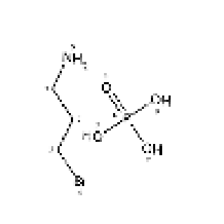 NCCCBr.O=P(O)(O)O